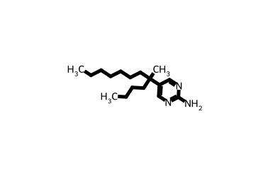 CCCCCCCC(C)(CCCC)c1cnc(N)nc1